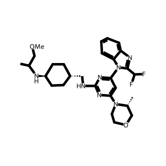 COCC(C)N[C@H]1CC[C@H](CNc2nc(N3CCOC[C@H]3C)cc(-n3c(C(F)F)nc4ccccc43)n2)CC1